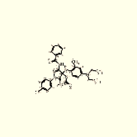 CCN(CC)c1ccc(NC2(NC(C)=O)C(=O)N(c3ccc(Cl)cc3)N=C2NC(=O)c2ccccc2)c(C)c1